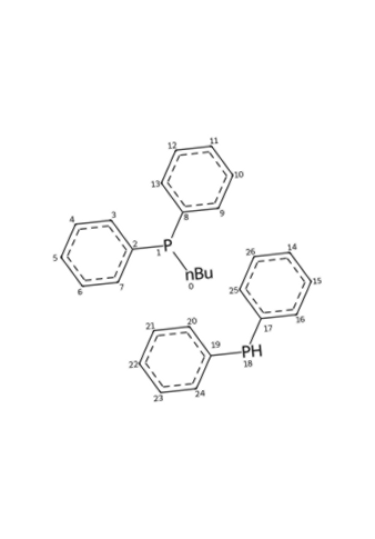 CCCCP(c1ccccc1)c1ccccc1.c1ccc(Pc2ccccc2)cc1